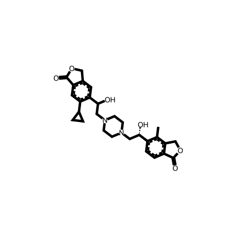 Cc1c([C@@H](O)CN2CCN(CC(O)c3cc4c(cc3C3CC3)C(=O)OC4)CC2)ccc2c1COC2=O